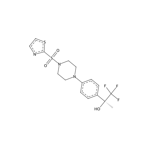 C[C@](O)(c1ccc(N2CCN(S(=O)(=O)c3nccs3)CC2)cc1)C(F)(F)F